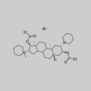 CCC(=O)O[C@H]1C[C@@H]2CCC3C4C[C@H]([N+]5(C)CCCCC5)[C@@H](OC(=O)CC)[C@@]4(C)CCC3[C@@]2(C)C[C@@H]1N1CCCCC1.[Br-]